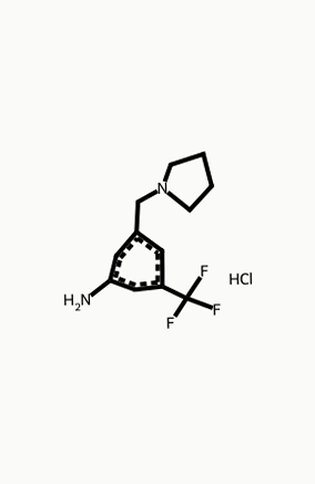 Cl.Nc1cc(CN2CCCC2)cc(C(F)(F)F)c1